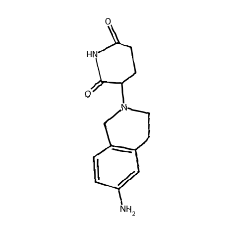 Nc1ccc2c(c1)CCN(C1CCC(=O)NC1=O)C2